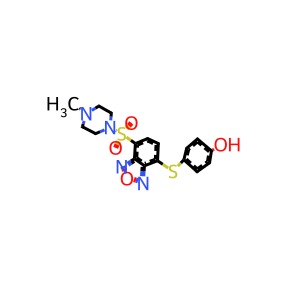 CN1CCN(S(=O)(=O)c2ccc(Sc3ccc(O)cc3)c3nonc23)CC1